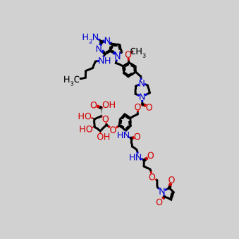 CCCCCNc1nc(N)nc2ccn(Cc3ccc(CN4CCN(C(=O)OCc5ccc(OC6O[C@@H](C(=O)O)[C@H](O)[C@@H](O)[C@@H]6O)c(NC(=O)CCNC(=O)CCOCCN6C(=O)C=CC6=O)c5)CC4)cc3OC)c12